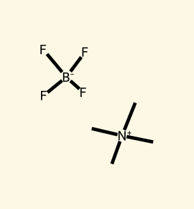 C[N+](C)(C)C.F[B-](F)(F)F